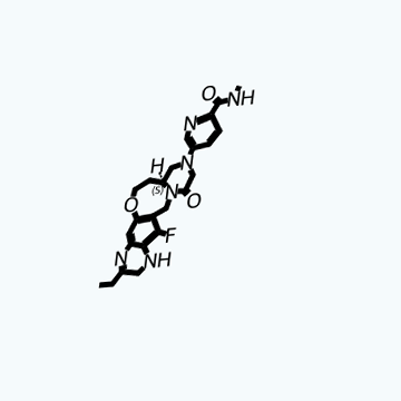 CCC1=Nc2cc3c(c(F)c2NC1)CN1C(=O)CN(c2ccc(C(=O)NC)nc2)C[C@@H]1CCO3